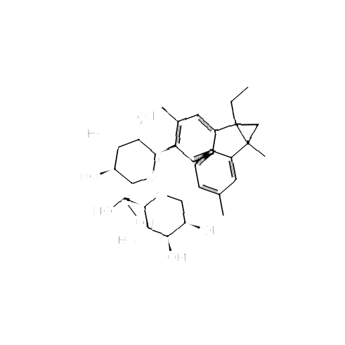 CCC1(c2ccc([C@H]3O[C@H](CO)[C@@H](O)[C@H](O)[C@@H]3O)c(C)c2)CC1(C)c1ccc([C@H]2O[C@H](CO)[C@@H](O)[C@H](O)[C@@H]2O)c(C)c1